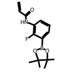 C=CC(=O)Nc1cccc(B2OC(C)(C)C(C)(C)O2)c1F